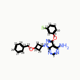 Nc1ncnc2c1c(Oc1cccc(F)c1)nn2C1CC(OCc2ccccc2)C1